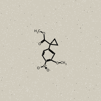 COC(=O)C1(c2ccc([N+](=O)[O-])c(OC)c2)CC1